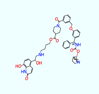 O=C(N[C@@H](c1ccccc1)c1cccc(OCc2cccc(C(=O)N3CCC(C(=O)OCCCCNCC(O)c4ccc(O)c5[nH]c(=O)ccc45)CC3)c2)c1)OC1CN2CCC1CC2